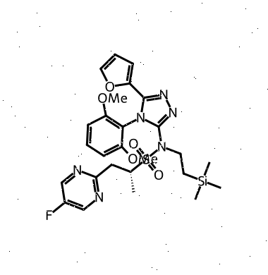 COc1cccc(OC)c1-n1c(-c2ccco2)nnc1N(CC[Si](C)(C)C)S(=O)(=O)[C@H](C)Cc1ncc(F)cn1